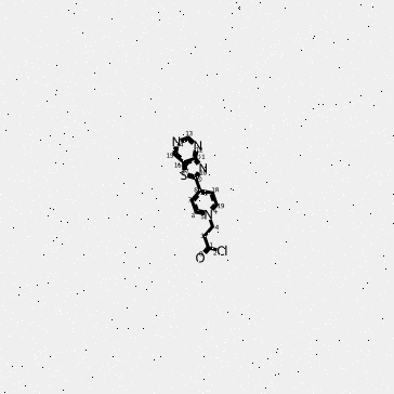 O=C(Cl)CC[n+]1ccc(-c2nc3ncncc3s2)cc1